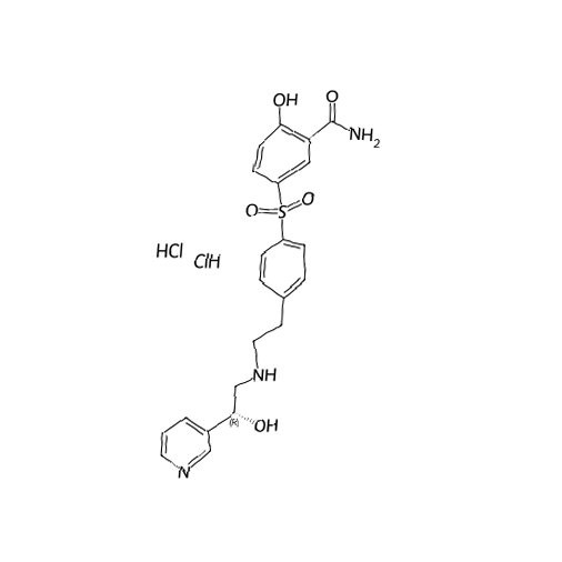 Cl.Cl.NC(=O)c1cc(S(=O)(=O)c2ccc(CCNC[C@H](O)c3cccnc3)cc2)ccc1O